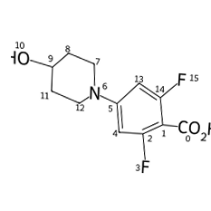 O=C(O)c1c(F)cc(N2CCC(O)CC2)cc1F